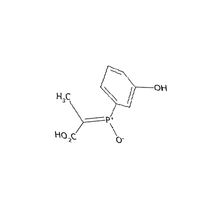 C/C(C(=O)O)=[P+](/[O-])c1cccc(O)c1